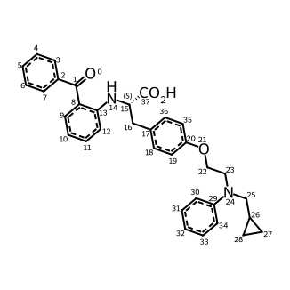 O=C(c1ccccc1)c1ccccc1N[C@@H](Cc1ccc(OCCN(CC2CC2)c2ccccc2)cc1)C(=O)O